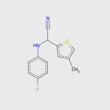 Cc1csc(C(C#N)Nc2ccc(F)cc2)c1